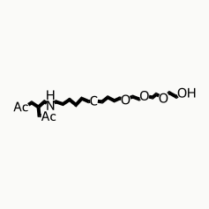 CC(=O)CC(CNCCCCCCCCCCCOCCOCCOCCO)CC(C)=O